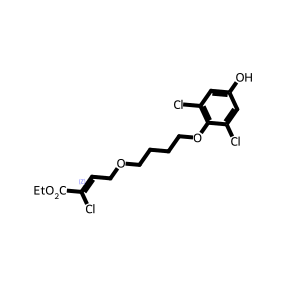 CCOC(=O)/C(Cl)=C/COCCCCOc1c(Cl)cc(O)cc1Cl